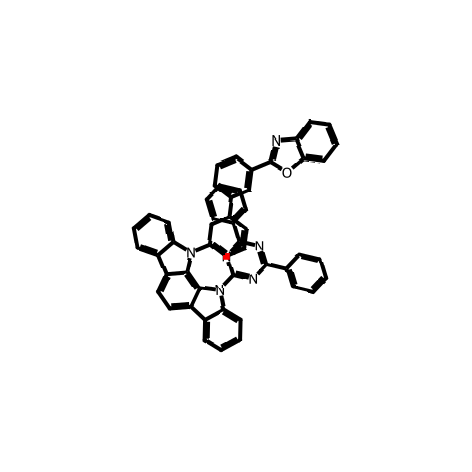 C1=CC(c2cccc(-c3nc4ccccc4o3)c2)CC(n2c3ccccc3c3ccc4c5ccccc5n(-c5nc(-c6ccccc6)nc(-c6ccccc6)n5)c4c32)=C1